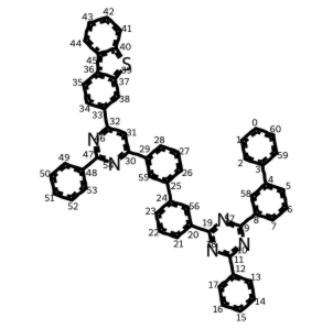 c1ccc(-c2cccc(-c3nc(-c4ccccc4)nc(-c4cccc(-c5cccc(-c6cc(-c7ccc8c(c7)sc7ccccc78)nc(-c7ccccc7)n6)c5)c4)n3)c2)cc1